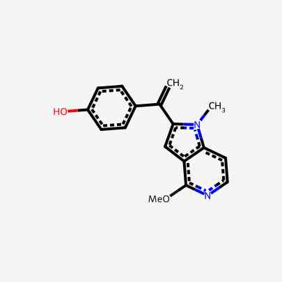 C=C(c1ccc(O)cc1)c1cc2c(OC)nccc2n1C